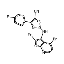 CCc1oc2nccc(Br)c2c1Nc1nc(-c2ccc(F)cc2)c(C#N)s1